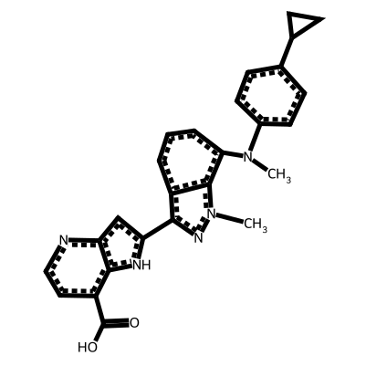 CN(c1ccc(C2CC2)cc1)c1cccc2c(-c3cc4nccc(C(=O)O)c4[nH]3)nn(C)c12